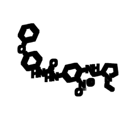 CCN1CCCC1CNc1ccc(NC(=O)Nc2ccc(Oc3ccccc3)cc2)cc1[N+](=O)[O-]